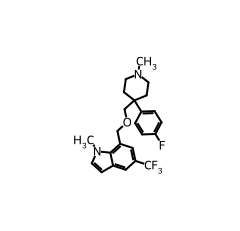 CN1CCC(COCc2cc(C(F)(F)F)cc3ccn(C)c23)(c2ccc(F)cc2)CC1